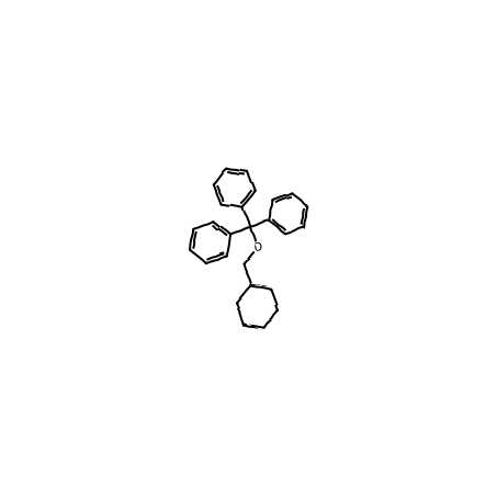 c1ccc(C(OCC2CCCCC2)(c2ccccc2)c2ccccc2)cc1